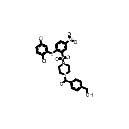 O=C(c1ccc(CO)cc1)N1CCN(S(=O)(=O)c2cc([N+](=O)[O-])ccc2Sc2cc(Cl)ccc2Cl)CC1